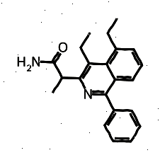 CCc1cccc2c(-c3ccccc3)nc(C(C)C(N)=O)c(CC)c12